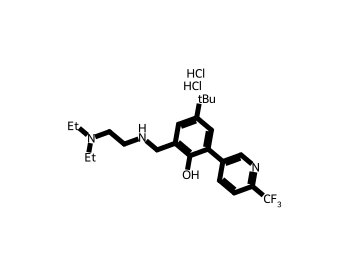 CCN(CC)CCNCc1cc(C(C)(C)C)cc(-c2ccc(C(F)(F)F)nc2)c1O.Cl.Cl